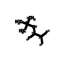 CC(C)(C)OC(F)C(F)F